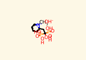 C[n+]1ccccc1CC(O)(P(=O)(O)O)P(=O)(O)O.[OH-]